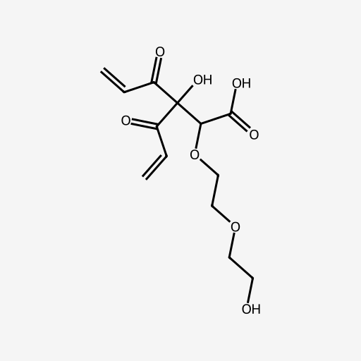 C=CC(=O)C(O)(C(=O)C=C)C(OCCOCCO)C(=O)O